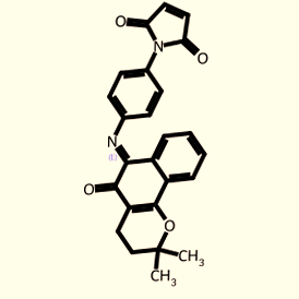 CC1(C)CCC2=C(O1)c1ccccc1/C(=N\c1ccc(N3C(=O)C=CC3=O)cc1)C2=O